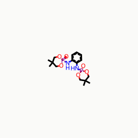 CC1(C)COP(=O)(Nc2ccccc2NP2(=O)OCC(C)(C)CO2)OC1